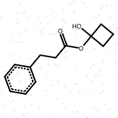 O=C(CCc1ccccc1)OC1(O)CCC1